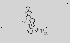 C[C@@H](Oc1cc(F)ccc1Nc1ncnc2cc(N=S3(=O)CCC3)cc(C(F)F)c12)C(=O)NCC(F)(F)F